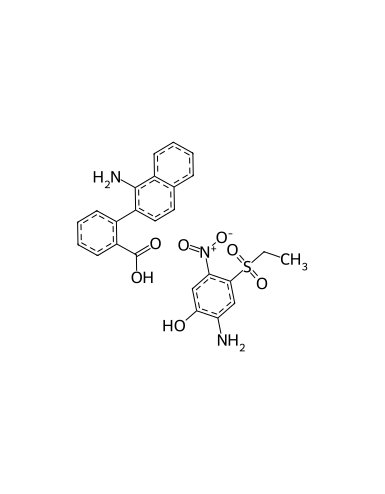 CCS(=O)(=O)c1cc(N)c(O)cc1[N+](=O)[O-].Nc1c(-c2ccccc2C(=O)O)ccc2ccccc12